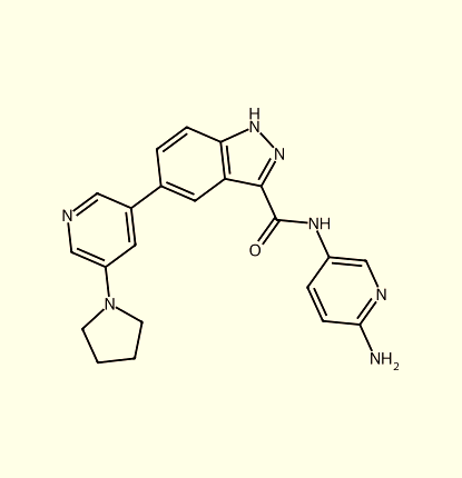 Nc1ccc(NC(=O)c2n[nH]c3ccc(-c4cncc(N5CCCC5)c4)cc23)cn1